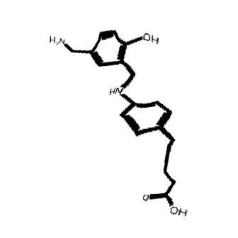 NCc1ccc(O)c(CNc2ccc(CCCC(=O)O)cc2)c1